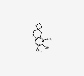 Cc1cc2c(c(C)c1O)CC1(CCC1)CO2